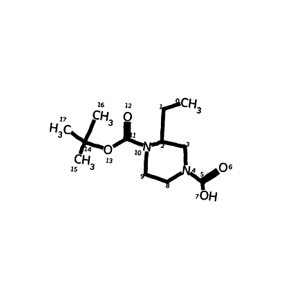 CCC1CN(C(=O)O)CCN1C(=O)OC(C)(C)C